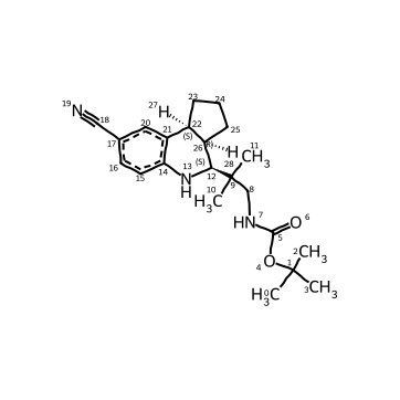 CC(C)(C)OC(=O)NCC(C)(C)[C@H]1Nc2ccc(C#N)cc2[C@H]2CCC[C@H]21